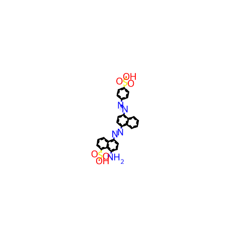 Nc1ccc(/N=N/c2ccc(/N=N/c3ccc(S(=O)(=O)O)cc3)c3ccccc23)c2cccc(S(=O)(=O)O)c12